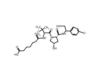 CC(C)(C)C(NC(=O)CCCCCC(=O)O)C(=O)N1C[C@H](O)C[C@H]1C(=O)NC(CO)c1ccc(Cl)cc1